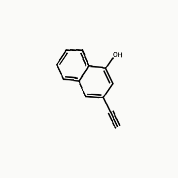 C#Cc1cc(O)c2ccccc2c1